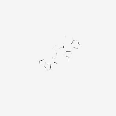 Cc1cccc(-c2sc(C)nc2C(=O)N2CCC2CNC(=O)c2c(C)nc3sccn23)c1